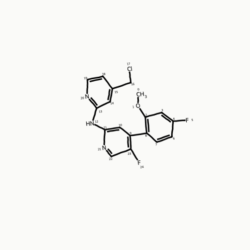 COc1cc(F)ccc1-c1cc(Nc2cc(CCl)ccn2)ncc1F